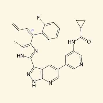 C=C/C=C(/c1ccccc1F)c1nc(-c2n[nH]c3ncc(-c4cncc(NC(=O)C5CC5)c4)cc23)[nH]c1C